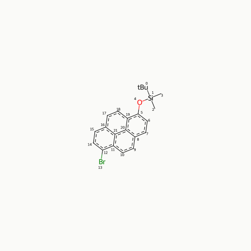 CC(C)(C)[Si](C)(C)Oc1ccc2ccc3c(Br)ccc4ccc1c2c43